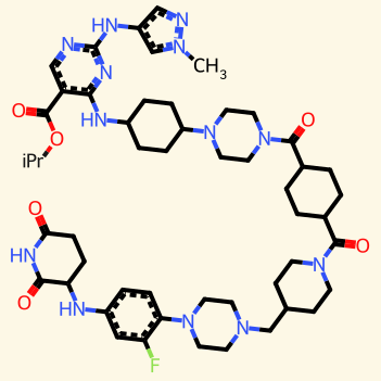 CC(C)OC(=O)c1cnc(Nc2cnn(C)c2)nc1NC1CCC(N2CCN(C(=O)C3CCC(C(=O)N4CCC(CN5CCN(c6ccc(NC7CCC(=O)NC7=O)cc6F)CC5)CC4)CC3)CC2)CC1